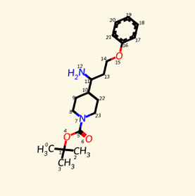 CC(C)(C)OC(=O)N1CCC(C(N)CCOc2ccccc2)CC1